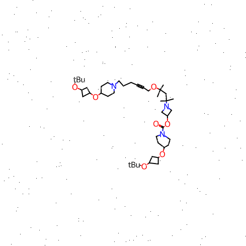 CC(C)(C)OC1CC(OC2CCN(CCCC#CCOC(C)(C)CC(C)(C)N3CC(OC(=O)N4CCC(OC5CC(OC(C)(C)C)C5)CC4)C3)CC2)C1